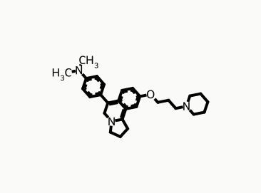 CN(C)c1ccc(C2=c3ccc(OCCCN4CCCCC4)cc3=C3CCCN3C2)cc1